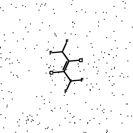 FC(F)C(Cl)=C(Cl)C(F)F